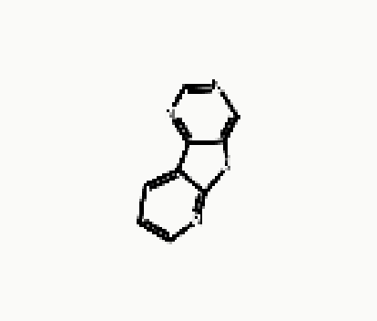 [c]1ncc2sc3ncccc3c2n1